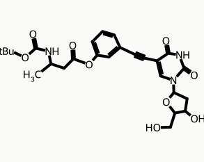 CC(CC(=O)Oc1cccc(C#Cc2cn(C3CC(O)C(CO)O3)c(=O)[nH]c2=O)c1)NC(=O)OC(C)(C)C